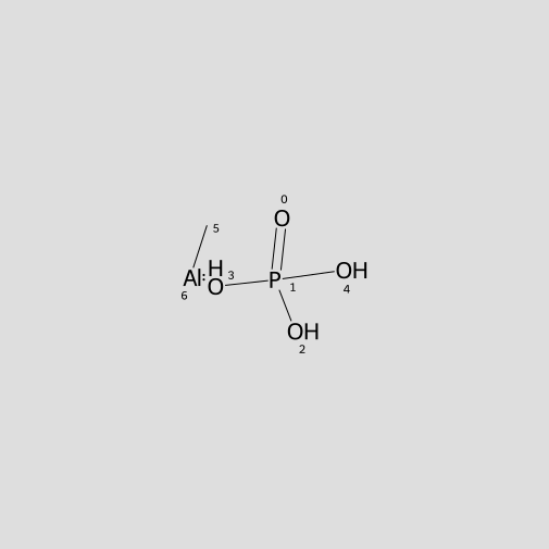 O=P(O)(O)O.[CH3][Al]